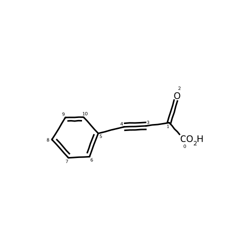 O=C(O)C(=O)C#Cc1ccccc1